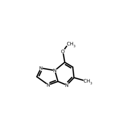 COc1cc(C)nc2ncnn12